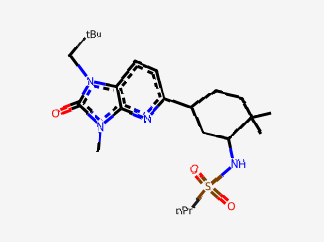 CCCS(=O)(=O)NC1CC(c2ccc3c(n2)n(C)c(=O)n3CC(C)(C)C)CCC1(C)C